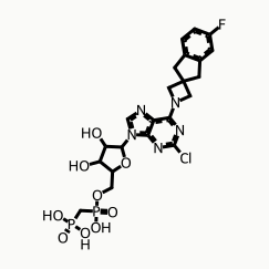 O=P(O)(O)CP(=O)(O)OCC1OC(n2cnc3c(N4CC5(Cc6ccc(F)cc6C5)C4)nc(Cl)nc32)C(O)C1O